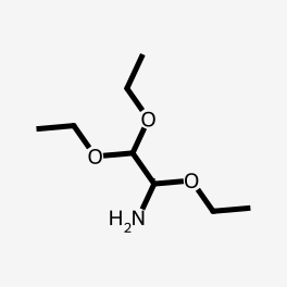 CCO[C](N)C(OCC)OCC